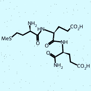 CSCC[C@@H](N)C(=O)N[C@@H](CCC(=O)O)C(=O)N[C@@H](CCC(=O)O)C(N)=O